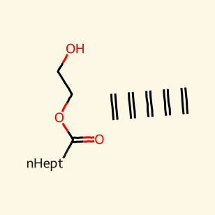 C=C.C=C.C=C.C=C.C=C.CCCCCCCC(=O)OCCO